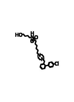 O=S(=O)(CCCCCCN1CCN(Cc2ccccc2-c2ccc(Cl)cc2)CC1)NCCCCO